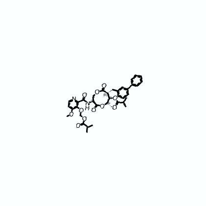 COc1ccnc(C(=O)N[C@H]2COC(=O)[C@H](Cc3cccc(-c4ccccc4)c3)[C@@H](OC(=O)C(C)C)[C@H](C)OC2=O)c1OCOC(=O)C(C)C